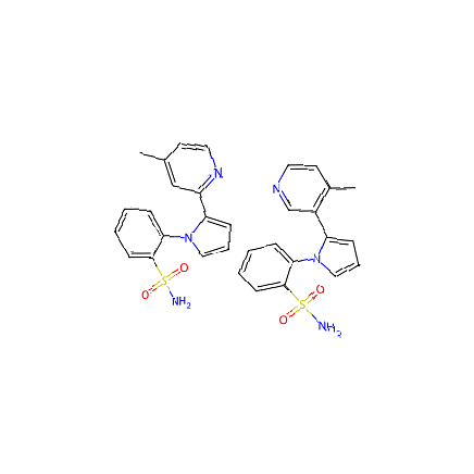 Cc1ccnc(-c2cccn2-c2ccccc2S(N)(=O)=O)c1.Cc1ccncc1-c1cccn1-c1ccccc1S(N)(=O)=O